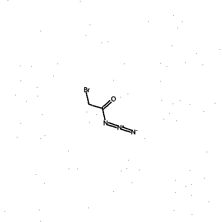 [N-]=[N+]=NC(=O)CBr